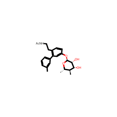 CC(=O)NCCc1ccc(O[C@@H]2O[C@@H](C)[C@H](C)[C@@H](O)[C@H]2O)cc1-c1cccc(C)c1